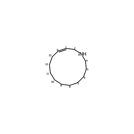 C1=CCNCCCCCCCCCC1